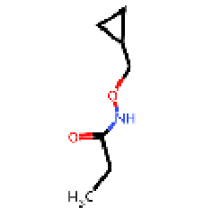 CCC(=O)NOCC1CC1